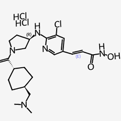 CN(C)C[C@H]1CC[C@H](C(=O)N2CC[C@@H](Nc3ncc(/C=C/C(=O)NO)cc3Cl)C2)CC1.Cl.Cl